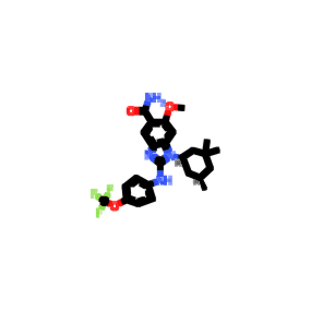 COc1cc2c(cc1C(N)=O)nc(Nc1ccc(OC(F)(F)F)cc1)n2[C@@H]1C[C@H](C)CC(C)(C)C1